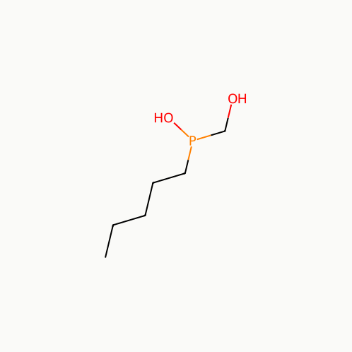 CCCCCP(O)CO